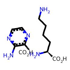 NCCCC[C@H](N)C(=O)O.Nc1nccnc1C(=O)O